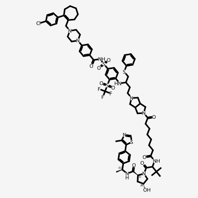 Cc1ncsc1-c1ccc([C@H](C)NC(=O)[C@@H]2C[C@@H](O)CN2C(=O)C(NC(=O)CCCCCCC(=O)N2CC3CN(CCC(CSc4ccccc4)Nc4ccc(S(=O)(=O)NC(=O)c5ccc(N6CCN(CC7=C(c8ccc(Cl)cc8)CCCCC7)CC6)cc5)cc4S(=O)(=O)C(F)(F)F)CC3C2)C(C)(C)C)cc1